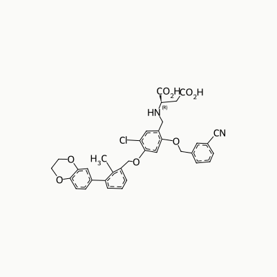 Cc1c(COc2cc(OCc3cccc(C#N)c3)c(CN[C@H](CC(=O)O)C(=O)O)cc2Cl)cccc1-c1ccc2c(c1)OCCO2